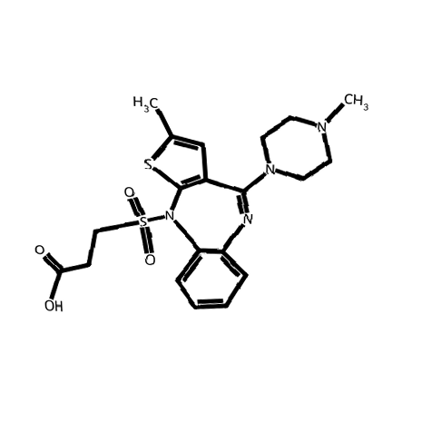 Cc1cc2c(s1)N(S(=O)(=O)CCC(=O)O)c1ccccc1N=C2N1CCN(C)CC1